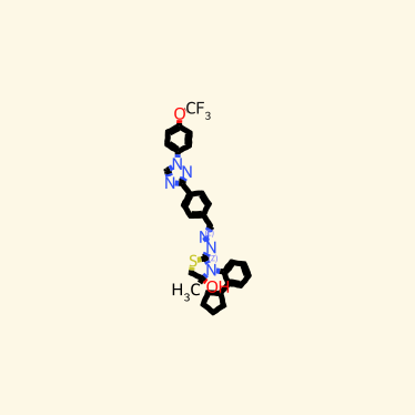 CC1(O)CS/C(=N\N=C\c2ccc(-c3ncn(-c4ccc(OC(F)(F)F)cc4)n3)cc2)N1c1ccccc1C1CCCC1